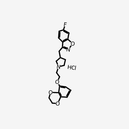 Cl.Fc1ccc2c(CC3CCN(CCOc4cccc5c4OCCO5)C3)noc2c1